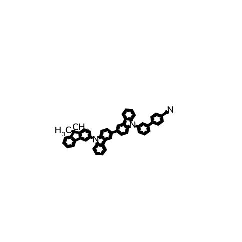 CC1(C)c2ccccc2-c2cc(-n3c4ccccc4c4cc(-c5ccc6c(c5)c5ccccc5n6-c5cccc(-c6ccc(C#N)cc6)c5)ccc43)ccc21